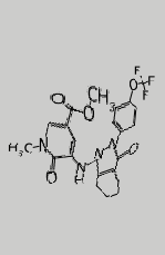 COC(=O)c1cc(Nc2nn(-c3ccc(OC(F)(F)F)cc3)c(=O)c3c2CCCC3)c(=O)n(C)c1